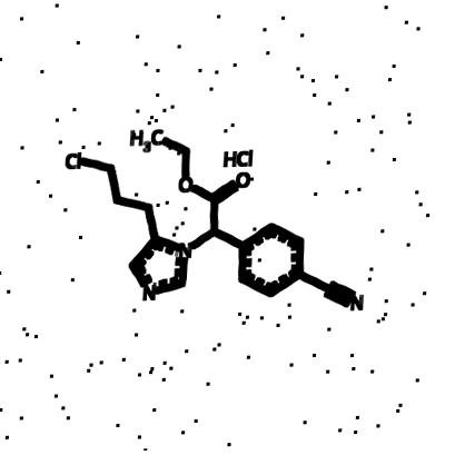 CCOC(=O)C(c1ccc(C#N)cc1)n1cncc1CCCCl.Cl